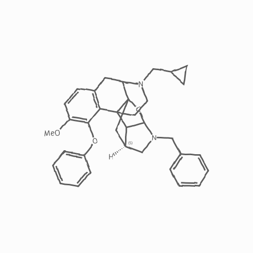 COc1ccc2c(c1Oc1ccccc1)C13CCN(CC4CC4)C(C2)C12CC1C3[C@@H](CN1Cc1ccccc1)C2